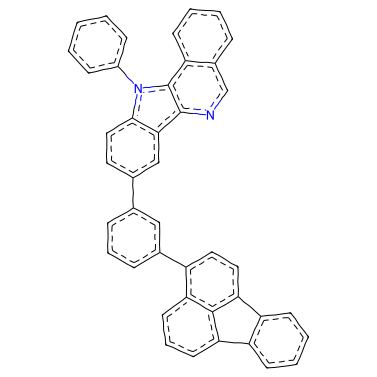 c1ccc(-n2c3ccc(-c4cccc(-c5ccc6c7c(cccc57)-c5ccccc5-6)c4)cc3c3ncc4ccccc4c32)cc1